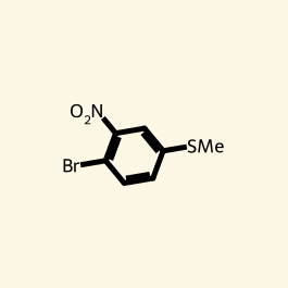 CSc1ccc(Br)c([N+](=O)[O-])c1